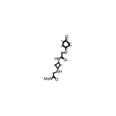 CNC(=O)CN[C@H]1C[C@@H](NC(=O)COc2ccc(Cl)cc2)C1